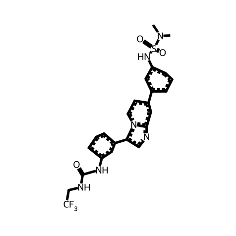 CN(C)S(=O)(=O)Nc1cccc(-c2ccn3c(-c4cccc(NC(=O)NCC(F)(F)F)c4)cnc3c2)c1